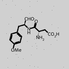 COc1ccc(C[C@@H]([C]=O)NC(=O)[C@@H](N)CC(=O)O)cc1